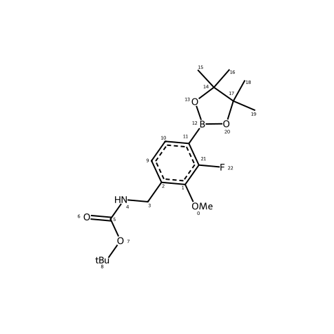 COc1c(CNC(=O)OC(C)(C)C)ccc(B2OC(C)(C)C(C)(C)O2)c1F